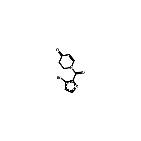 O=C1C=CN(C(=O)c2sccc2Br)CC1